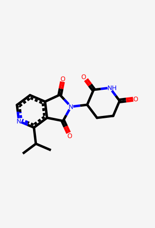 CC(C)c1nccc2c1C(=O)N(C1CCC(=O)NC1=O)C2=O